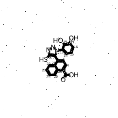 O=C(O)c1ccc(-c2c(S)nnn2-c2cccc(O)c2O)c2ccccc12